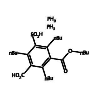 CCCCOC(=O)c1c(CCCC)c(C(=O)O)c(CCCC)c(S(=O)(=O)O)c1CCCC.P.P